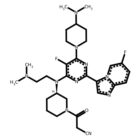 CN(C)CCN(c1nc(-c2cnc3ccc(F)cn23)nc(N2CCC(N(C)C)CC2)c1F)[C@@H]1CCCN(C(=O)CC#N)C1